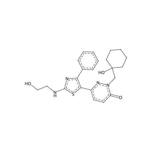 O=c1ccc(-c2sc(NCCO)nc2-c2ccccc2)nn1CC1(O)CCCCC1